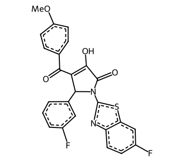 COc1ccc(C(=O)C2=C(O)C(=O)N(c3nc4ccc(F)cc4s3)C2c2cccc(F)c2)cc1